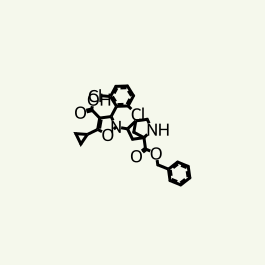 O=C(O)C1=C(C2CC2)ON(C2CC3(C(=O)OCc4ccccc4)CC2CN3)C1c1c(Cl)cccc1Cl